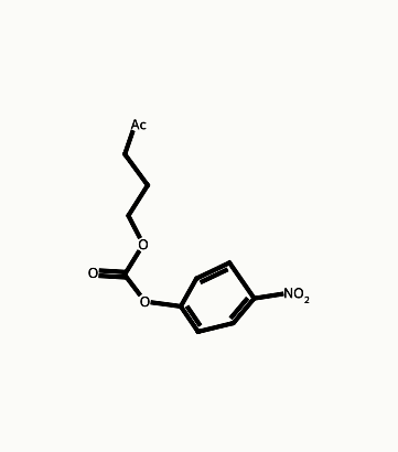 CC(=O)CCCOC(=O)Oc1ccc([N+](=O)[O-])cc1